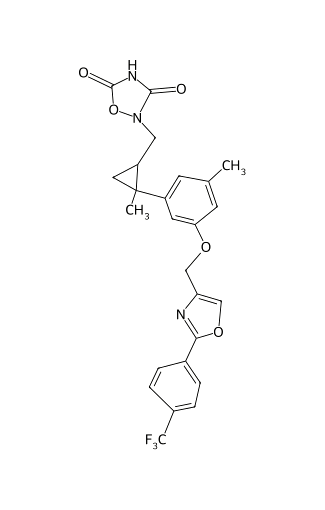 Cc1cc(OCc2coc(-c3ccc(C(F)(F)F)cc3)n2)cc(C2(C)CC2Cn2oc(=O)[nH]c2=O)c1